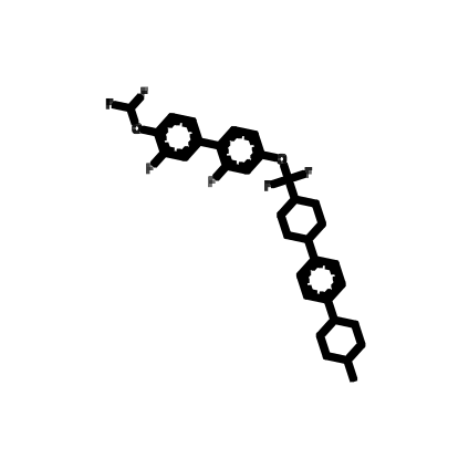 CC1CCC(c2ccc(C3CCC(C(F)(F)Oc4ccc(-c5ccc(OC(F)F)c(F)c5)c(F)c4)CC3)cc2)CC1